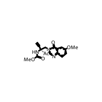 C#C[C@@](Cn1cnc2ccc(OC)cc2c1=O)(NC(=O)OC)C(C)=O